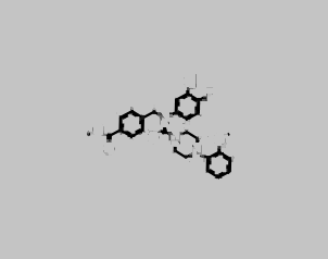 COC(=O)c1ccc(CN(C(=O)N2CCN(c3ccccc3OC)CC2)c2ccc(F)c(Cl)c2)cc1